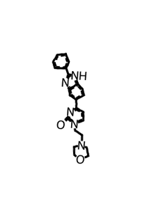 O=c1nc(-c2ccc3[nH]c(-c4ccccc4)nc3c2)ccn1CCN1CCOCC1